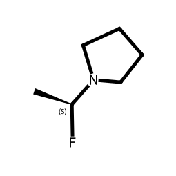 C[C@H](F)N1CCCC1